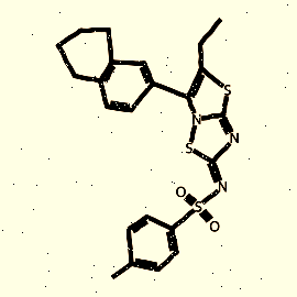 CCc1sc2nc(=NS(=O)(=O)c3ccc(C)cc3)sn2c1-c1ccc2c(c1)CCCC2